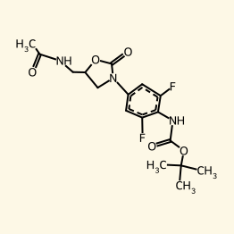 CC(=O)NCC1CN(c2cc(F)c(NC(=O)OC(C)(C)C)c(F)c2)C(=O)O1